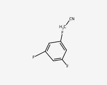 CC#N.Fc1cc(F)cc(F)c1